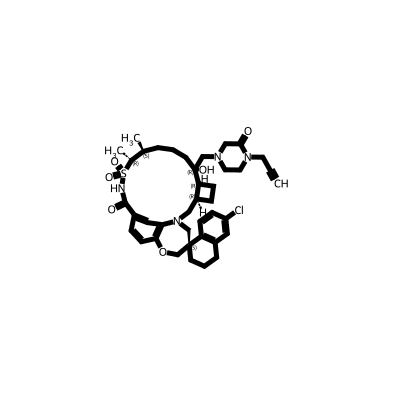 C#CCN1CCN(C[C@@]2(O)CCC[C@H](C)[C@@H](C)S(=O)(=O)NC(=O)c3ccc4c(c3)N(C[C@@H]3CC[C@H]32)C[C@@]2(CCCc3cc(Cl)ccc32)CO4)CC1=O